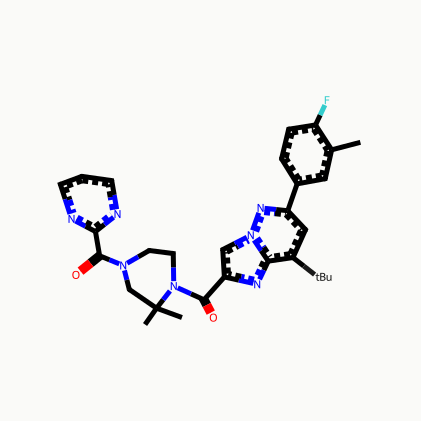 Cc1cc(-c2cc(C(C)(C)C)c3nc(C(=O)N4CCN(C(=O)c5ncccn5)CC4(C)C)cn3n2)ccc1F